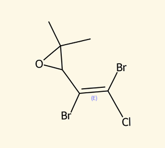 CC1(C)OC1/C(Br)=C(/Cl)Br